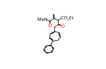 C=C(C(=O)NC)C(C(=O)CC1=CC=C(c2ccccc2)CC=C1)C(=O)OCC